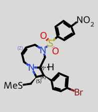 CSC[C@@H]1[C@H](c2ccc(Br)cc2)[C@@H]2CN(S(=O)(=O)c3ccc([N+](=O)[O-])cc3)C/C=C\CN12